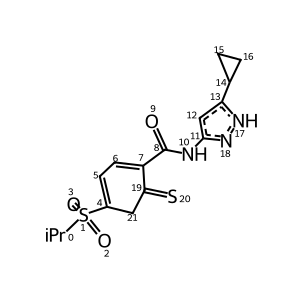 CC(C)S(=O)(=O)C1=CC=C(C(=O)Nc2cc(C3CC3)[nH]n2)C(=S)C1